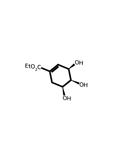 CCOC(=O)C1=C[C@@H](O)[C@@H](O)[C@@H](O)C1